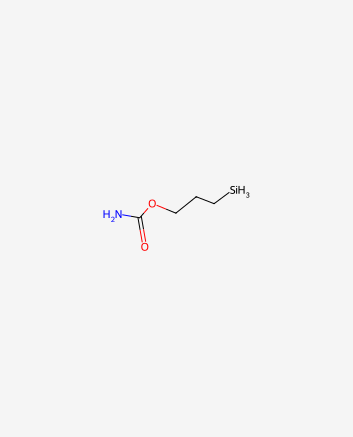 NC(=O)OCCC[SiH3]